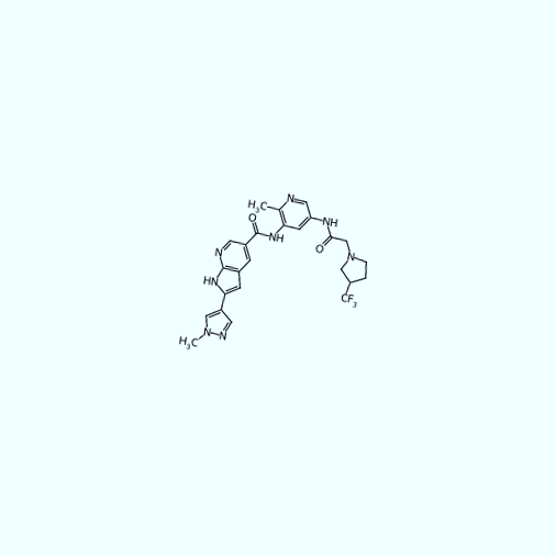 Cc1ncc(NC(=O)CN2CCC(C(F)(F)F)C2)cc1NC(=O)c1cnc2[nH]c(-c3cnn(C)c3)cc2c1